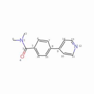 CN(C)C(=O)c1ccc(-c2ccncc2)cc1